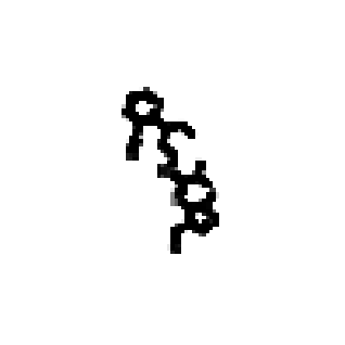 CCN(CCN/C(=N/c1c(C=O)cnn1C)C(C)C)c1ncccc1C#N